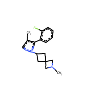 CN1CC2(CC(n3ncc(C(F)(F)F)c3-c3ccccc3F)C2)C1